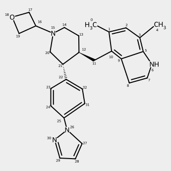 Cc1cc(C)c2[nH]ccc2c1C[C@@H]1CCN(C2COC2)C[C@H]1c1ccc(-n2cccn2)cc1